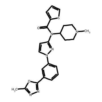 Cc1nnc(-c2cccc(-n3ccc(N(C(=O)c4cccs4)C4CCN(C)CC4)n3)c2)o1